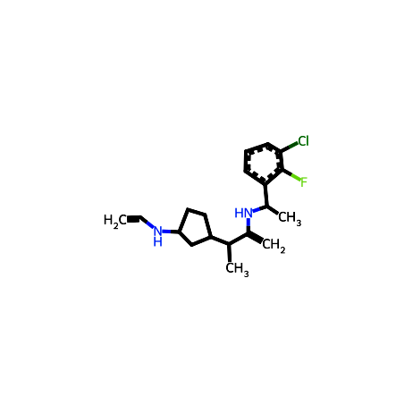 C=CNC1CCC(C(C)C(=C)NC(C)c2cccc(Cl)c2F)C1